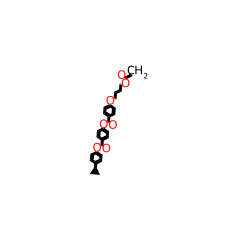 C=CC(=O)OCCCCOc1ccc(C(=O)Oc2ccc(C(=O)Oc3ccc(C4CC4)cc3)cc2)cc1